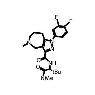 CNC(=O)[C@@H](NC(=O)c1nn(-c2ccc(F)c(F)c2)c2c1CN(C)CCC2)C(C)(C)C